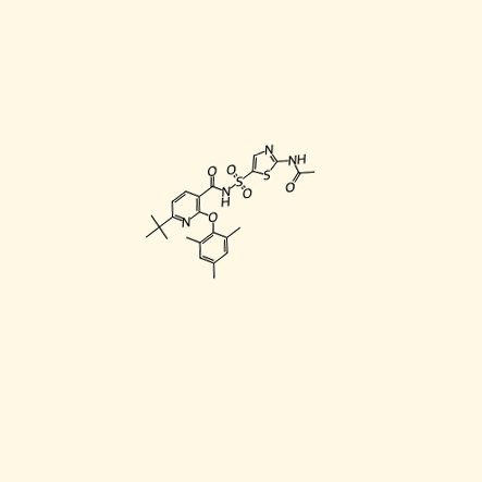 CC(=O)Nc1ncc(S(=O)(=O)NC(=O)c2ccc(C(C)(C)C)nc2Oc2c(C)cc(C)cc2C)s1